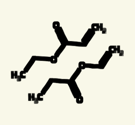 C=CC(=O)OCC.C=COC(=O)CC